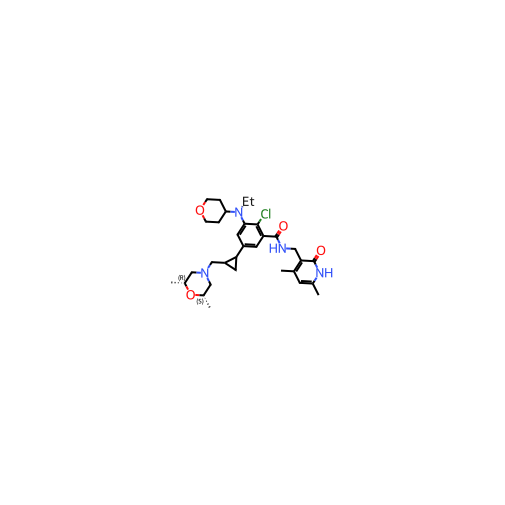 CCN(c1cc(C2CC2CN2C[C@@H](C)O[C@@H](C)C2)cc(C(=O)NCc2c(C)cc(C)[nH]c2=O)c1Cl)C1CCOCC1